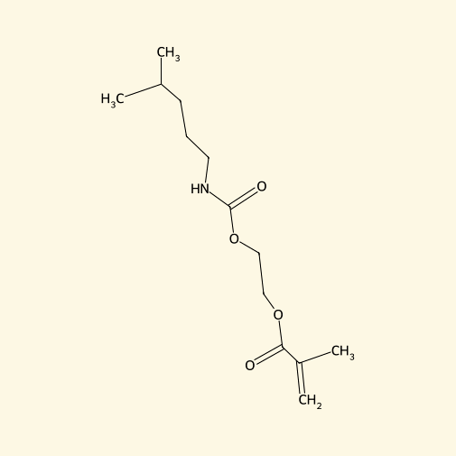 C=C(C)C(=O)OCCOC(=O)NCCCC(C)C